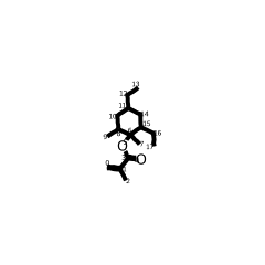 C=C(C)C(=O)OC1(C)C(C)CC(CC)CC1CC